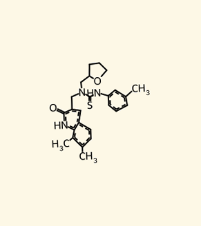 Cc1cccc(NC(=S)N(Cc2cc3ccc(C)c(C)c3[nH]c2=O)CC2CCCO2)c1